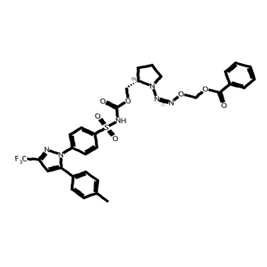 Cc1ccc(-c2cc(C(F)(F)F)nn2-c2ccc(S(=O)(=O)NC(=O)OC[C@@H]3CCCN3/N=N\OCOC(=O)c3ccccc3)cc2)cc1